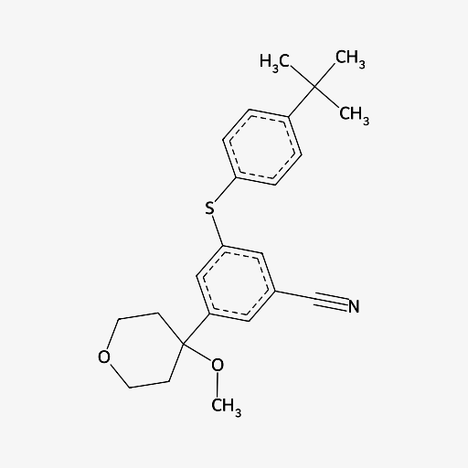 COC1(c2cc(C#N)cc(Sc3ccc(C(C)(C)C)cc3)c2)CCOCC1